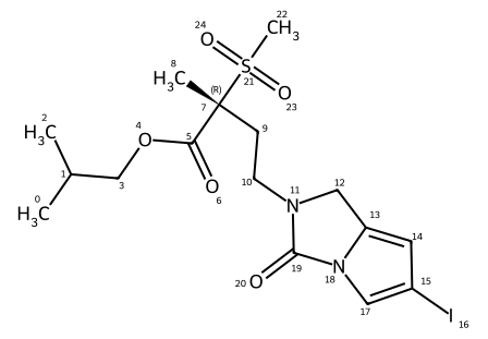 CC(C)COC(=O)[C@@](C)(CCN1Cc2cc(I)cn2C1=O)S(C)(=O)=O